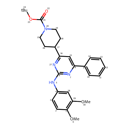 COc1ccc(Nc2nc(-c3ccccc3)cc(C3CCN(C(=O)OC(C)(C)C)CC3)n2)cc1OC